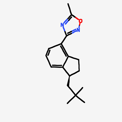 Cc1nc(-c2cccc3c2CC[C@H]3CC(C)(C)C)no1